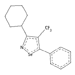 FC(F)(F)c1c(C2CCCCC2)n[se]c1-c1ccccc1